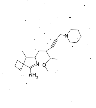 COC(C)C(C#CCN1CCCCC1)CC1N=C(N)C2(CCC2)C1C